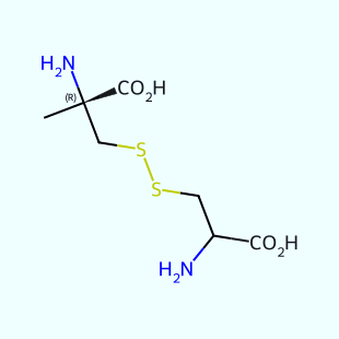 C[C@](N)(CSSCC(N)C(=O)O)C(=O)O